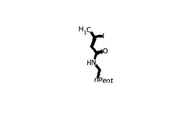 CCCCCCNC(=O)/C=C(/C)I